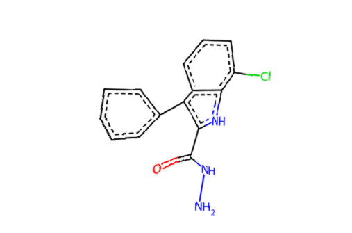 NNC(=O)c1[nH]c2c(Cl)cccc2c1-c1ccccc1